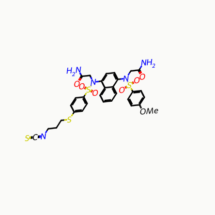 COc1ccc(S(=O)(=O)N(CC(N)=O)c2ccc(N(CC(N)=O)S(=O)(=O)c3ccc(SCCCN=C=S)cc3)c3ccccc23)cc1